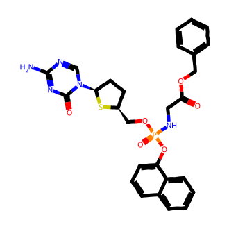 Nc1ncn([C@H]2CC[C@@H](COP(=O)(NCC(=O)OCc3ccccc3)Oc3cccc4ccccc34)S2)c(=O)n1